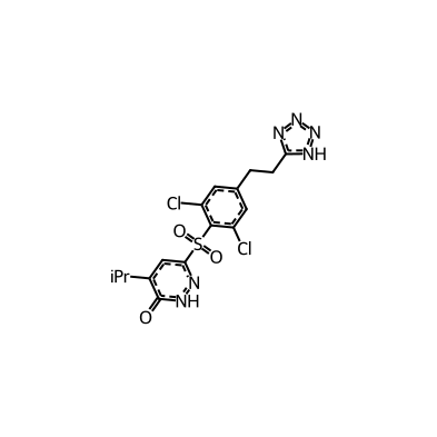 CC(C)c1cc(S(=O)(=O)c2c(Cl)cc(CCc3nnn[nH]3)cc2Cl)n[nH]c1=O